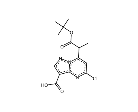 CC(C(=O)OC(C)(C)C)c1cc(Cl)nc2c(C(=O)O)cnn12